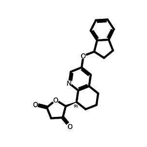 O=C1CC(=O)C([C@@H]2CCCc3cc(OC4CCc5ccccc54)cnc32)O1